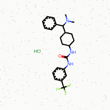 CN(C)C(c1ccccc1)C1CCC(NC(=O)Nc2cccc(C(F)(F)F)c2)CC1.Cl